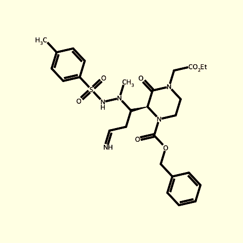 CCOC(=O)CN1CCN(C(=O)OCc2ccccc2)[C@@H](C(CC=N)N(C)NS(=O)(=O)c2ccc(C)cc2)C1=O